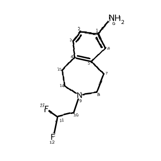 Nc1ccc2c(c1)CCN(CC(F)F)CC2